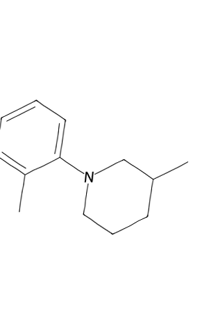 Cc1ccccc1N1CCCC(C)C1